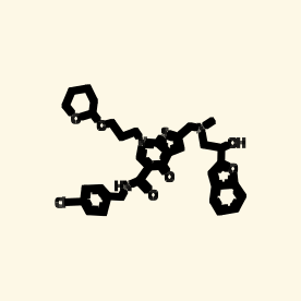 CN(Cc1cc2c(=O)c(C(=O)NCc3ccc(Cl)cc3)cn(CCCOC3CCCCO3)c2s1)CC(O)c1cc2ccccc2o1